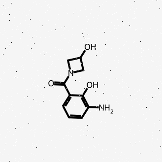 Nc1cccc(C(=O)N2CC(O)C2)c1O